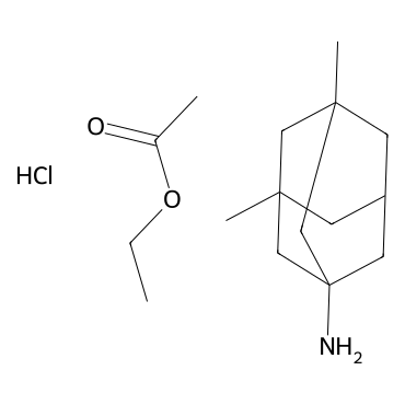 CC12CC3CC(C)(C1)CC(N)(C3)C2.CCOC(C)=O.Cl